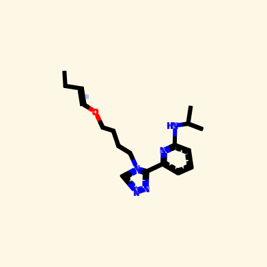 CC/C=C/OCCCCn1cnnc1-c1cccc(NC(C)C)n1